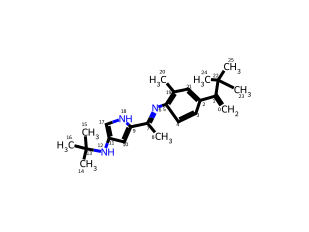 C=C(c1ccc(/N=C(\C)c2cc(NC(C)(C)C)c[nH]2)c(C)c1)C(C)(C)C